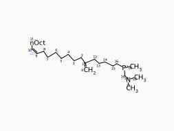 C=C(CCCCCCC/C=C\CCCCCCCC)CCCCCP(C)CN(C)C